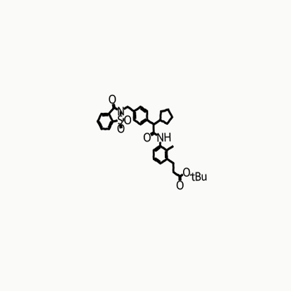 Cc1c(CCC(=O)OC(C)(C)C)cccc1NC(=O)C(c1ccc(CN2C(=O)c3ccccc3S2(=O)=O)cc1)C1CCCC1